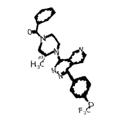 C[C@@H]1CN(C(=O)c2ccccc2)CCN1c1nnc(-c2ccc(OC(F)(F)F)cc2)c2ccncc12